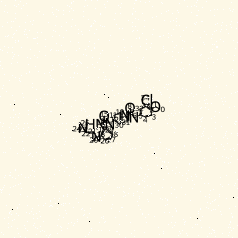 COc1ccc(NC(=O)N2CCC(n3c(=O)[nH]c4c(N(C)CCN(C)C)cccc43)CC2)cc1Cl